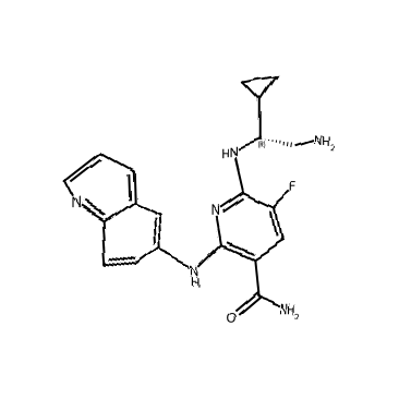 NC[C@H](Nc1nc(Nc2ccc3ncccc3c2)c(C(N)=O)cc1F)C1CC1